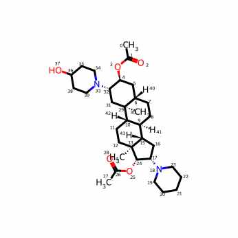 CC(=O)O[C@H]1C[C@@H]2CC[C@@H]3[C@H](CC[C@@]4(C)[C@H]3C[C@H](N3CCCCC3)[C@@H]4OC(C)=O)[C@@]2(C)C[C@@H]1N1CCC(O)CC1